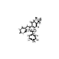 O=C(NC(CC1CCCCC1)c1ccc(C(F)(F)F)cc1)c1ccccc1